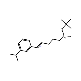 CC(C)c1cccc(/C=C/CCC[C@@H](C)OC(C)(C)C)c1